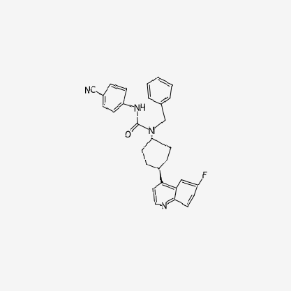 N#Cc1ccc(NC(=O)N(Cc2ccccc2)[C@H]2CC[C@H](c3ccnc4ccc(F)cc43)CC2)cc1